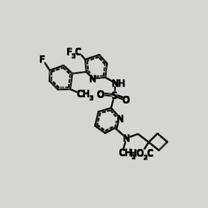 Cc1ccc(F)cc1-c1nc(NS(=O)(=O)c2cccc(N(C)CC3(C(=O)O)CCC3)n2)ccc1C(F)(F)F